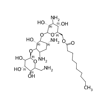 CCCCCCCCCC(=O)OC[C@H]1OC(OC2[C@@H](O)C(O[C@H]3OC(CN)[C@@H](O)[C@H](O)C3O)C(N)C[C@H]2N)[C@H](O)C(N)[C@@H]1O